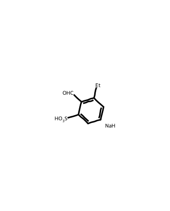 CCc1cccc(S(=O)(=O)O)c1C=O.[NaH]